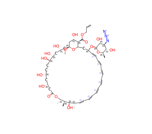 C=CCOC(=O)[C@H]1C2C[C@@H](O[C@@H]3O[C@H](C)[C@@H](O)[C@H](N=[N+]=[N-])[C@H]3O)/C=C/C=C/C=C/C=C/C=C/C=C/C=C/[C@H](C)[C@@H](O)[C@@H](C)[C@H](C)OC(=O)C[C@H](O)C[C@H](O)CC[C@@H](O)[C@H](O)C[C@H](O)C[C@](OC)(C[C@@H]1O)O2